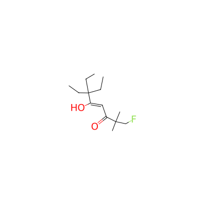 CCC(CC)(CC)/C(O)=C/C(=O)C(C)(C)CF